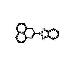 C1=C(n2nc3ccccc3n2)Cc2cccc3cccc1c23